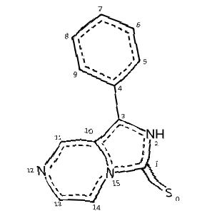 S=c1[nH]c(-c2ccccc2)c2cnccn12